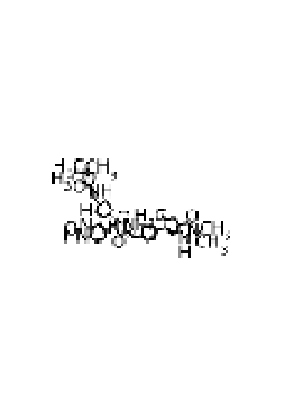 Cc1cc2c(=O)n(C(C)C)[nH]c2cc1-c1ccc(C[C@H](N)C(=O)N(c2ccc3[nH]c(=O)[nH]c3c2)C(=O)[C@H]2CC[C@H](CNC(=O)OC(C)(C)C)CC2)cc1